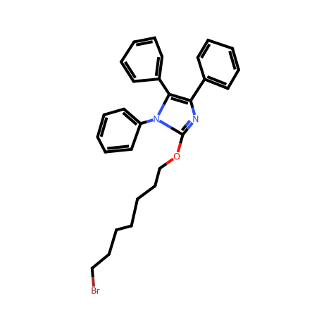 BrCCCCCCCOc1nc(-c2ccccc2)c(-c2ccccc2)n1-c1ccccc1